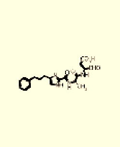 C[C@H](NC(=O)c1nc(CCCc2ccccc2)c[nH]1)C(=O)NC(C=O)CC(=O)O